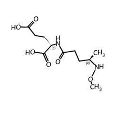 CON[C@H](C)CCC(=O)N[C@@H](CCC(=O)O)C(=O)O